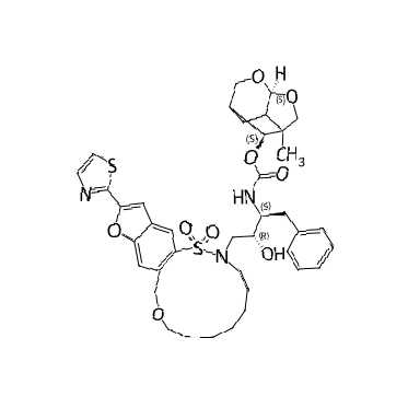 CC12CO[C@@H]3OCC(CC31)[C@@H]2OC(=O)N[C@@H](Cc1ccccc1)[C@H](O)CN1CCCCCCCOCc2cc3oc(-c4nccs4)cc3cc2S1(=O)=O